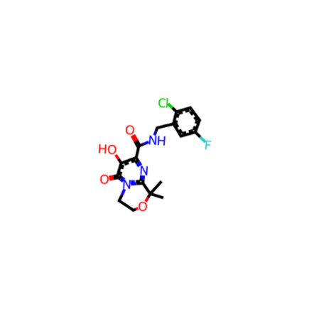 CC1(C)OCCn2c1nc(C(=O)NCc1cc(F)ccc1Cl)c(O)c2=O